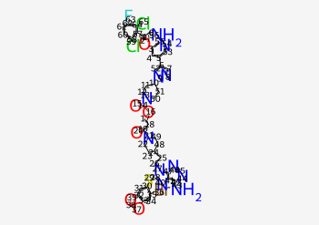 C[C@@H](Oc1cc(-c2cnn(C3CCN(C(=O)OCCC(=O)N4CCC(CCn5c(Sc6cc7c(cc6Br)OCO7)nc6c(N)ncnc65)CC4)CC3)c2)cnc1N)c1c(Cl)ccc(F)c1Cl